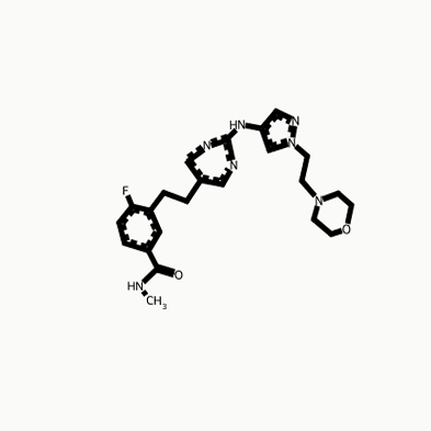 CNC(=O)c1ccc(F)c(CCc2cnc(Nc3cnn(CCN4CCOCC4)c3)nc2)c1